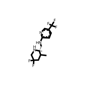 CC1CC(F)(F)CN[C@@H]1CNc1ccc(C(F)(F)F)cn1